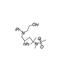 CCCC(CN(CCO)C(C)C)CC(C)(C)N(C)S(C)(=O)=O